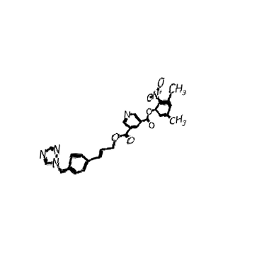 CC1=CC(OC(=O)c2cncc(C(=O)OC/C=C/c3ccc(Cn4cncn4)cc3)c2)C([N+](=O)[O-])=C(C)C1